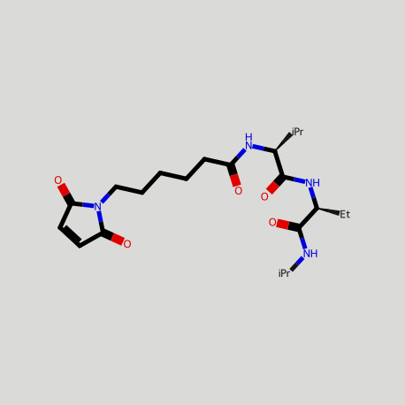 CC[C@H](NC(=O)[C@@H](NC(=O)CCCCCN1C(=O)C=CC1=O)C(C)C)C(=O)NC(C)C